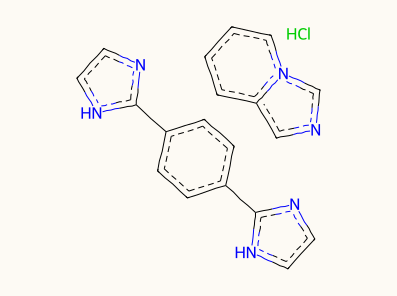 Cl.c1c[nH]c(-c2ccc(-c3ncc[nH]3)cc2)n1.c1ccn2cncc2c1